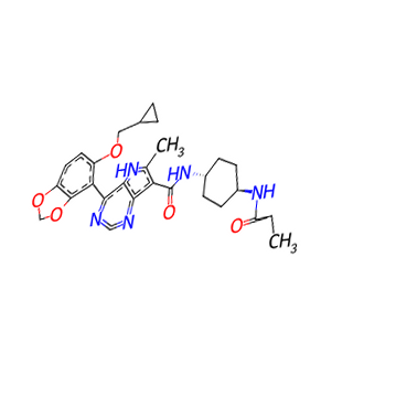 CCC(=O)N[C@H]1CC[C@H](NC(=O)c2c(C)[nH]c3c(-c4c(OCC5CC5)ccc5c4OCO5)ncnc23)CC1